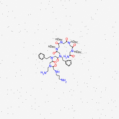 CCCCCCCCCCN(CC(N)=O)C(=O)CN(CCCCCCCCCC)C(=O)CN(CCCCCCCCCC)C(=O)CN(CCCCCCCCCC)C(=O)CN(CCc1ccccc1)C(=O)CN(CCc1ccccc1)C(=O)CN(CCN)C(=O)CNCCCN